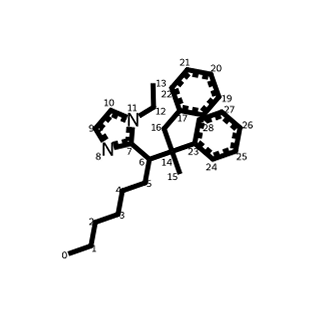 CCCCCCC(c1nccn1CC)C(C)(Cc1ccccc1)c1ccccc1